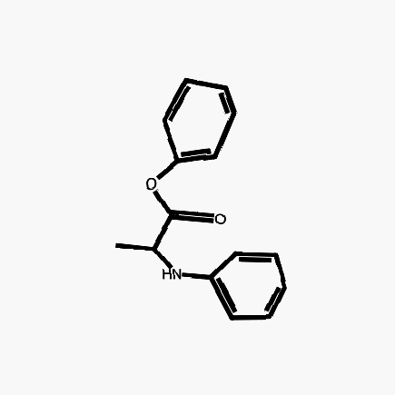 CC(Nc1ccccc1)C(=O)Oc1ccccc1